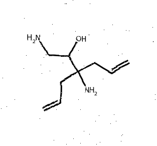 C=CCC(N)(CC=C)C(O)[CH]N